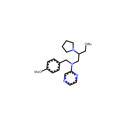 COc1ccc(CN(CC(COCC(C)C)N2CCCC2)c2cnccn2)cc1